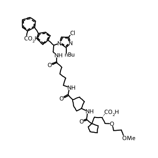 CCCCc1nc(Cl)cn1C(CNC(=O)CCCCNC(=O)C1CCC(NC(=O)C2(C[C@@H](COCCOC)C(=O)O)CCCC2)CC1)c1ccc(-c2ccccc2C(=O)O)cc1